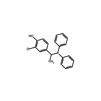 CC(c1ccc(O)c(Cl)c1)P(c1ccccc1)c1ccccc1